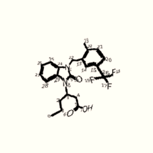 CCCC(CC(=O)O)n1c(=O)n(Cc2cc(C(F)(F)F)ccc2C)c2ccccc21